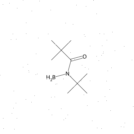 BN(C(=O)C(C)(C)C)C(C)(C)C